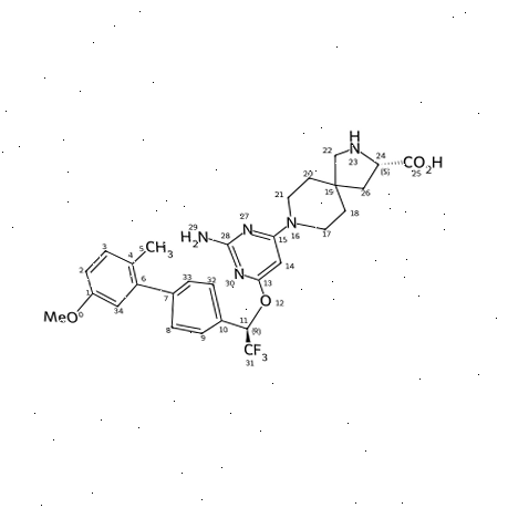 COc1ccc(C)c(-c2ccc([C@@H](Oc3cc(N4CCC5(CC4)CN[C@H](C(=O)O)C5)nc(N)n3)C(F)(F)F)cc2)c1